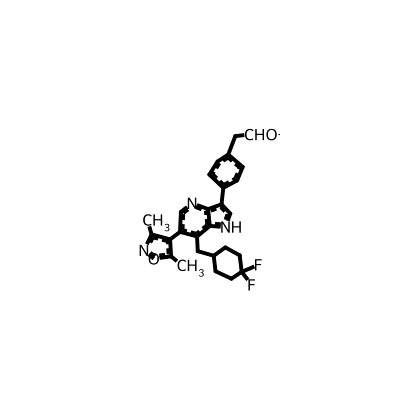 Cc1noc(C)c1-c1cnc2c(-c3ccc(C[C]=O)cc3)c[nH]c2c1CC1CCC(F)(F)CC1